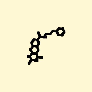 O=C(NCCCc1cccnc1)c1ccc2c(c1)Cc1c([nH]c(=O)[nH]c1=O)O2